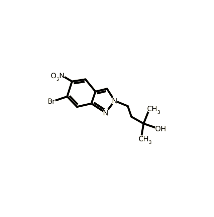 CC(C)(O)CCn1cc2cc([N+](=O)[O-])c(Br)cc2n1